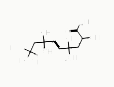 CC(CC(C)(C)/C=C/C(C)(C)CC(C)(C)C)C(=O)O